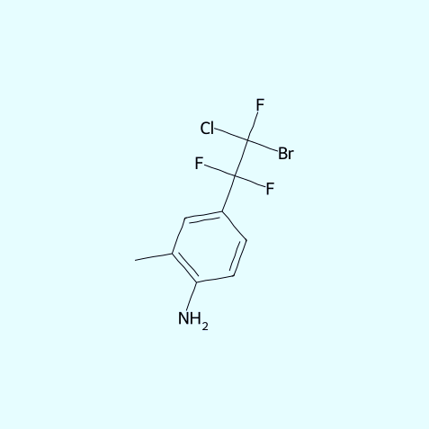 Cc1cc(C(F)(F)C(F)(Cl)Br)ccc1N